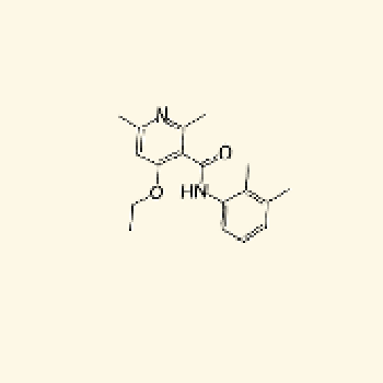 CCOc1cc(C)nc(C)c1C(=O)Nc1cccc(C)c1C